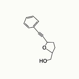 OCC1CCC(C#Cc2ccccc2)O1